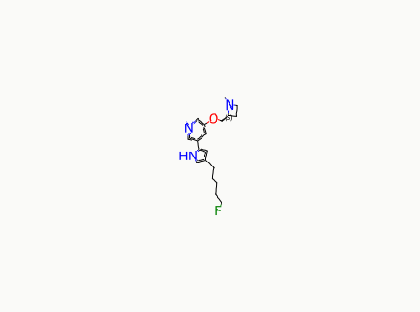 CN1CC[C@H]1COc1cncc(-c2cc(CCCCCF)c[nH]2)c1